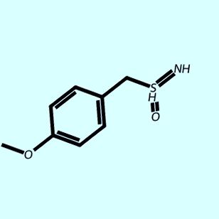 COc1ccc(C[SH](=N)=O)cc1